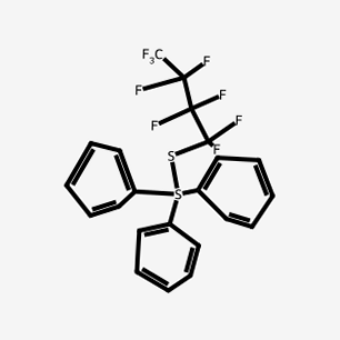 FC(F)(F)C(F)(F)C(F)(F)C(F)(F)SS(c1ccccc1)(c1ccccc1)c1ccccc1